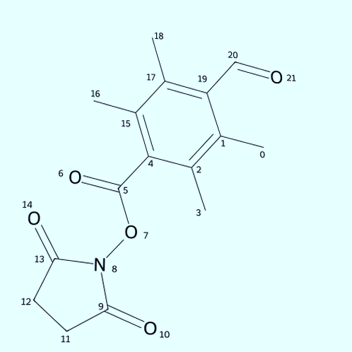 Cc1c(C)c(C(=O)ON2C(=O)CCC2=O)c(C)c(C)c1C=O